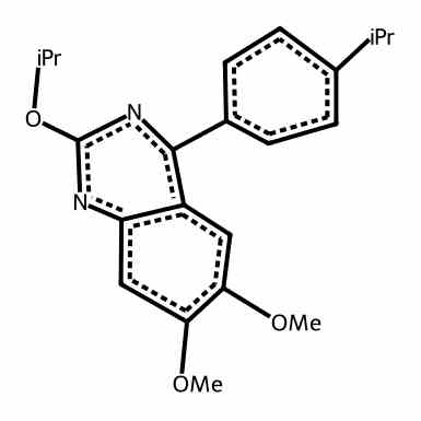 COc1cc2nc(OC(C)C)nc(-c3ccc(C(C)C)cc3)c2cc1OC